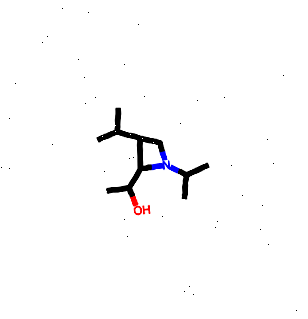 CC(C)C1CN(C(C)C)C1C(C)O